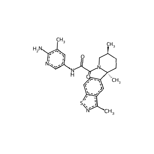 Cc1cc(NC(=O)C(=O)N2C[C@@H](C)CC[C@@]2(C)c2ccc3snc(C)c3c2)cnc1N